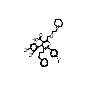 COc1ccc(C2=NC(COCCN3CCCCC3)=C(C(=O)O)C(c3ccc(Cl)c(Cl)c3)N2CCCc2ccccc2)cc1